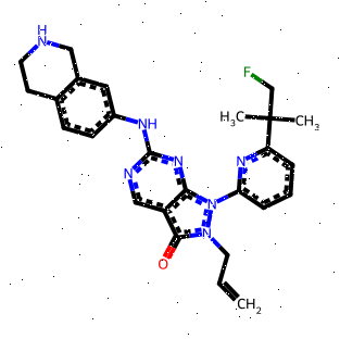 C=CCn1c(=O)c2cnc(Nc3ccc4c(c3)CNCC4)nc2n1-c1cccc(C(C)(C)CF)n1